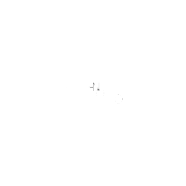 COCCON=C1CCC(C(C)C)CC1